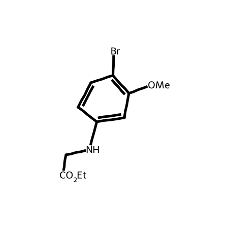 CCOC(=O)CNc1ccc(Br)c(OC)c1